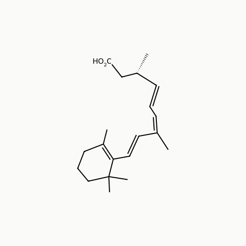 CC1=C(/C=C/C(C)=C\C=C\[C@@H](C)CC(=O)O)C(C)(C)CCC1